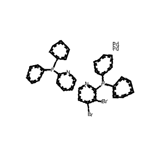 Brc1ccnc(P(c2ccccc2)c2ccccc2)c1Br.[Pd].[Pd].c1ccc(P(c2ccccc2)c2ccccn2)cc1